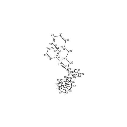 O=C(C#Cc1ccccc1)[C]12[CH]3[CH]4[CH]5[CH]1[Fe]45321678[CH]2[CH]1[CH]6[C]7(C(=O)CCCCc1ccccc1)[CH]28